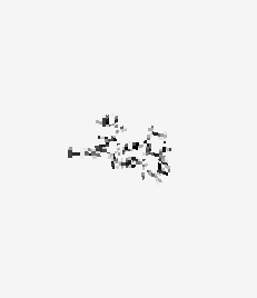 O=c1ccoc2ccccc12.OC[C@H]1O[C@@H](S)[C@H](O)[C@H]1O